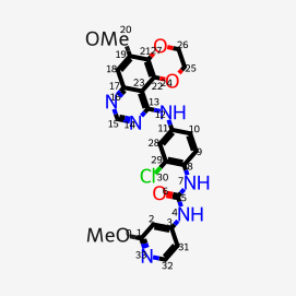 COc1cc(NC(=O)Nc2ccc(Nc3ncnc4cc(OC)c5c(c34)OCCO5)cc2Cl)ccn1